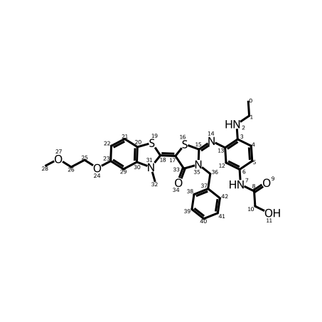 CCNc1ccc(NC(=O)CO)cc1N=C1S/C(=C2\Sc3ccc(OCCOC)cc3N2C)C(=O)N1Cc1ccccc1